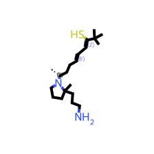 C[C@H](CC/C=C/C=C(\S)C(C)(C)C)N1CCCC1(C)CCCN